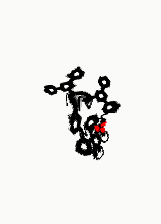 c1ccc(-c2cc(-c3ccccc3)cc(-c3cc(-c4cc(-c5ccccc5)cc(-c5ccccc5)c4)nc(-c4cccc(N5c6ccccc6C6(c7ccoc7-c7occc76)c6c5ccc5sc7ccccc7c65)c4)n3)c2)cc1